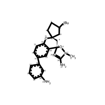 CN1O[C@@]2(C[C@]3(CCC(C(C)(C)C)C3)Oc3ccc(-c4cccc(N)c4)cc32)N=C1N